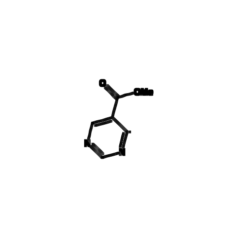 COC(=O)c1[c]ncnc1